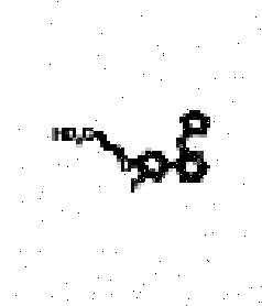 O=C(O)CCCOc1ccc(-c2cccnc2SC2CCCC2)cc1F